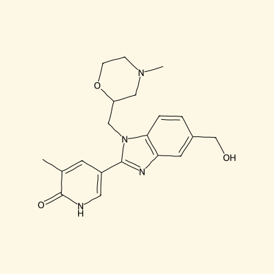 Cc1cc(-c2nc3cc(CO)ccc3n2CC2CN(C)CCO2)c[nH]c1=O